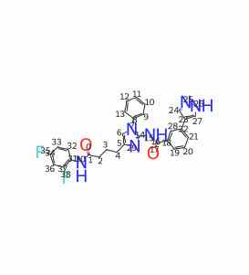 O=C(CCCc1cn(-c2ccccc2)c(NC(=O)c2cccc(-c3cn[nH]c3)c2)n1)Nc1ccc(F)cc1F